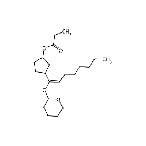 CCCCCCC=C(OC1CCCCO1)C1CCC(OC(=O)CC)C1